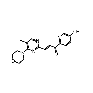 Cc1ccc(C(=O)/C=C/c2ncc(F)c(N3CCOCC3)n2)nc1